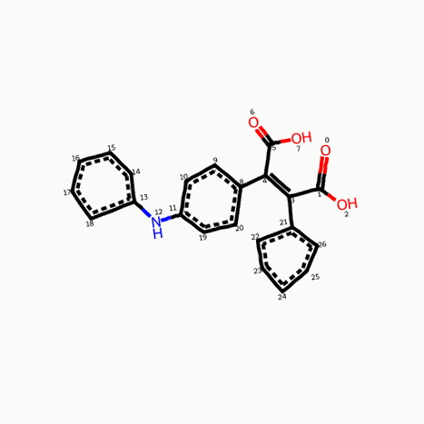 O=C(O)/C(=C(\C(=O)O)c1ccc(Nc2ccccc2)cc1)c1ccccc1